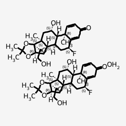 CC1(C)O[C@@H]2C[C@H]3[C@@H]4C[C@H](F)C5=CC(=O)C=C[C@]5(C)[C@H]4[C@@H](O)C[C@]3(C)[C@]2(C(=O)CO)O1.CC1(C)O[C@@H]2C[C@H]3[C@@H]4C[C@H](F)C5=CC(=O)C=C[C@]5(C)[C@H]4[C@@H](O)C[C@]3(C)[C@]2(C(=O)CO)O1.O